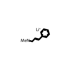 C[N-]CC=Cc1ccccc1.[Li+]